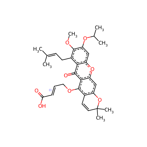 COc1c(OC(C)C)cc2oc3cc4c(c(OC/C=C/C(=O)O)c3c(=O)c2c1CC=C(C)C)C=CC(C)(C)O4